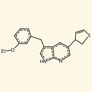 CCOc1cccc(Cc2c[nH]c3ncc(C4C=CSC4)cc23)c1